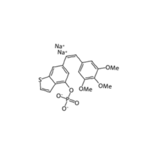 COc1cc(/C=C\c2cc(OP(=O)([O-])[O-])c3ccsc3c2)cc(OC)c1OC.[Na+].[Na+]